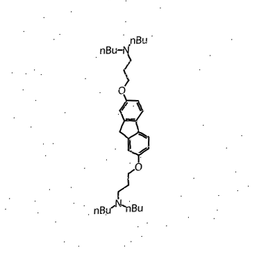 CCCCN(CCCC)CCCOc1ccc2c(c1)Cc1cc(OCCCN(CCCC)CCCC)ccc1-2